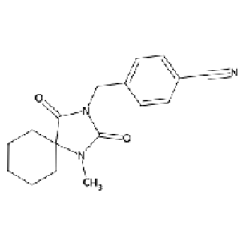 CN1C(=O)N(Cc2ccc(C#N)cc2)C(=O)C12CCCCC2